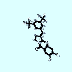 O=c1c2cc(F)c(F)cc2nc2n1CC/C2=C\c1cc(C(F)(F)F)cc(C(F)(F)F)c1